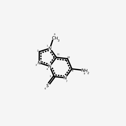 Cn1cnn2c(=S)nc(N)cc12